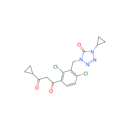 O=C(CC(=O)C1CC1)c1ccc(Cl)c(Cn2nnn(C3CC3)c2=O)c1Cl